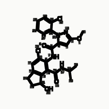 COc1cc(C(=O)Nc2c(Cl)cc3c(c2C(=O)NC(C)C)C(O)CC3)n(-c2ncccc2Cl)n1